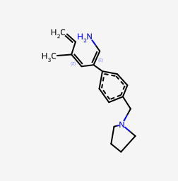 C=C/C(C)=C\C(=C/N)c1ccc(CN2CCCC2)cc1